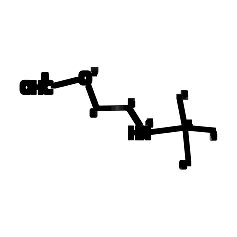 CC(C)(C)NCCOC=O